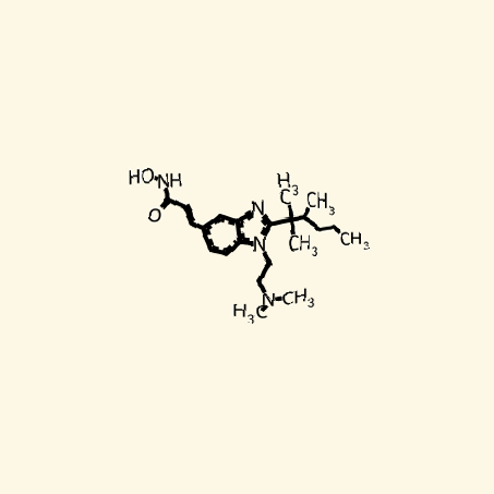 CCCC(C)C(C)(C)c1nc2cc(C=CC(=O)NO)ccc2n1CCN(C)C